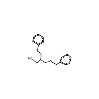 OCC(COCc1ccccc1)OCc1ccccc1